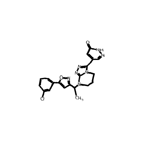 CC(c1cc(-c2cccc(Cl)c2)on1)N1CCCn2c(-c3cn[nH]c(=O)c3)nnc21